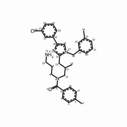 Cc1ccc(C(=O)N(CCCN)CC(C)Cc2nc(-c3cccc(Cl)c3)cn2Cc2cccc(C)c2)cc1